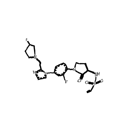 C=CS(=O)(=O)NC1CCN(c2ccc(-n3ccnc3CN3CCC(F)C3)cc2F)C1=O